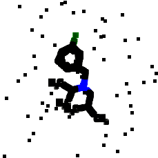 CC(C)CN(Cc1cccc(F)c1)C(C)C